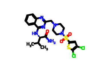 CC(C)[C@H](Nc1nc(CN2CCN(S(=O)(=O)c3cc(Cl)c(Cl)s3)CC2)nc2ccccc12)C(N)=O